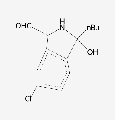 CCCCC1(O)NC(C=O)c2cc(Cl)ccc21